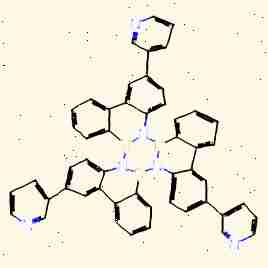 c1cncc(-c2ccc3c(c2)-c2ccccc2B2N3B3c4ccccc4-c4cc(-c5cccnc5)ccc4N3B3c4ccccc4-c4cc(-c5cccnc5)ccc4N23)c1